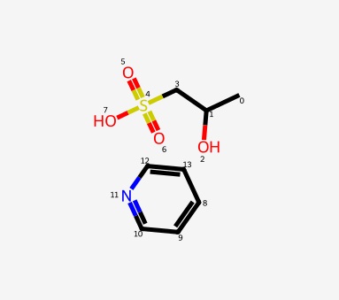 CC(O)CS(=O)(=O)O.c1ccncc1